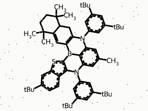 Cc1cc2c3c(c1)N(c1cc(C(C)(C)C)cc(C(C)(C)C)c1)c1c(sc4cc(C(C)(C)C)ccc14)B3C1=C(CC3C(=C1)C(C)(C)CCC3(C)C)N2c1cc(C(C)(C)C)cc(C(C)(C)C)c1